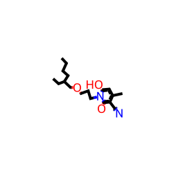 CCCCC(CC)COCCCn1c(O)cc(C)c(C#N)c1=O